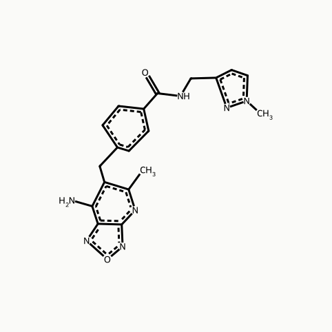 Cc1nc2nonc2c(N)c1Cc1ccc(C(=O)NCc2ccn(C)n2)cc1